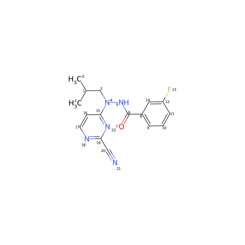 CC(C)CN(NC(=O)c1cccc(F)c1)c1ccnc(C#N)n1